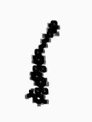 CC1CCC(C(C)C)C(OC(=O)c2ccc3cc(OC(=O)c4ccc(OCCCCCCOCC5(C)COC5)cc4)ccc3c2)C1